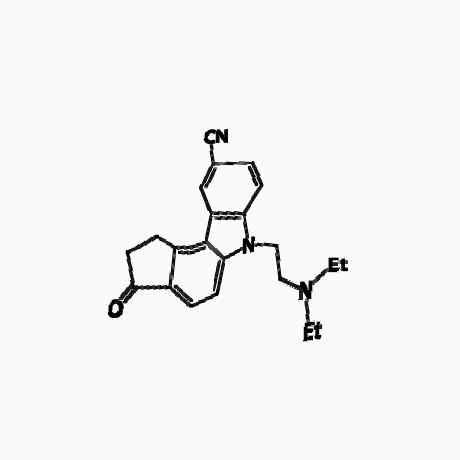 CCN(CC)CCn1c2ccc(C#N)cc2c2c3c(ccc21)C(=O)CC3